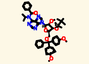 COc1ccc(C(OC[C@H]2O[C@@H](n3cnc4c(N(C(=O)c5ccccc5)C(C)C)ncnc43)C(OC)C2O[Si](C)(C)C(C)(C)C)(c2ccccc2)c2ccc(OC)cc2)cc1